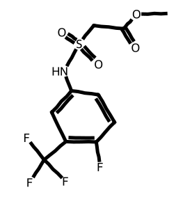 COC(=O)CS(=O)(=O)Nc1ccc(F)c(C(F)(F)F)c1